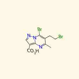 Cc1nc2c(C(=O)O)cnn2c(Br)c1CCBr